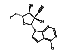 C#C[C@@]1(O)[C@H](O)[C@@H](CI)O[C@H]1n1ccc2c(Cl)ncnc21